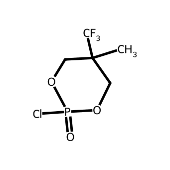 CC1(C(F)(F)F)COP(=O)(Cl)OC1